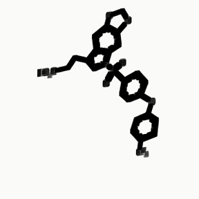 O=C(O)CCc1cn(S(=O)(=O)c2ccc(Oc3ccc(C(F)(F)F)cc3)cc2)c2cc3c(cc12)OCO3